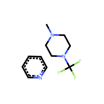 CN1CCN(C(F)(F)F)CC1.c1ccncc1